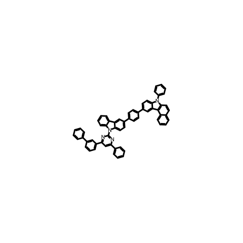 c1ccc(-c2cccc(-c3cc(-c4ccccc4)nc(-n4c5ccccc5c5cc(-c6ccc(-c7ccc8c(c7)c7c9ccccc9ccc7n8-c7ccccc7)cc6)ccc54)n3)c2)cc1